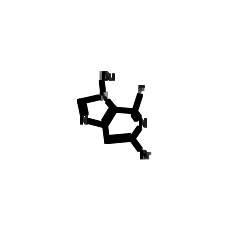 CCC(C)n1cnc2cc(Br)nc(F)c21